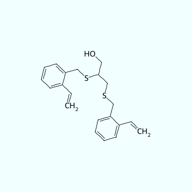 C=Cc1ccccc1CSCC(CO)SCc1ccccc1C=C